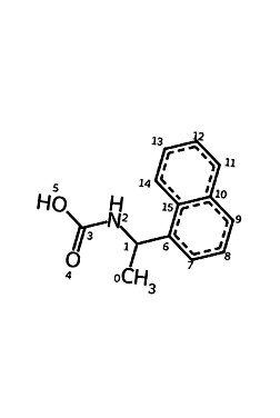 CC(NC(=O)O)c1cccc2ccccc12